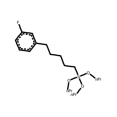 CCCO[Si](CCCCCc1cccc(F)c1)(OCCC)OCCC